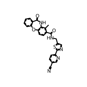 Cc1c(C(=O)NCc2cnc(-c3ccc(C#N)cn3)s2)ccc2c1NC(=O)c1ccccc1O2